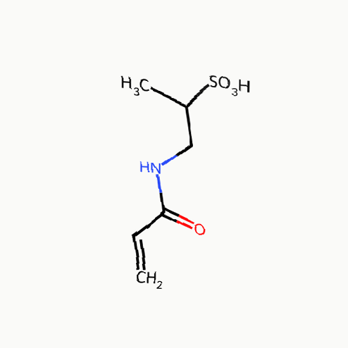 C=CC(=O)NCC(C)S(=O)(=O)O